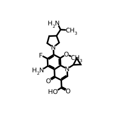 COc1c(N2CCC(C(C)N)C2)c(F)c(N)c2c(=O)c(C(=O)O)cn(C3CC3)c12